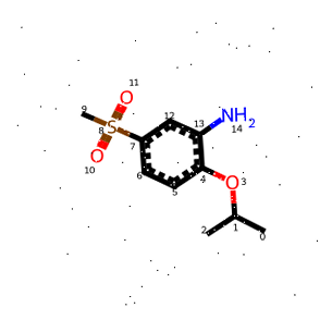 CC(C)Oc1ccc(S(C)(=O)=O)cc1N